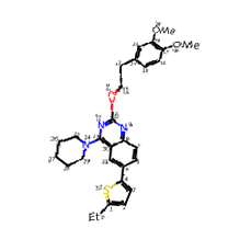 CCc1ccc(-c2ccc3nc(OCCc4ccc(OC)c(OC)c4)nc(N4CCCCC4)c3c2)s1